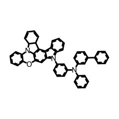 C1=CC2c3c4c(cc5c3c3ccccc3n5-c3cccc(N(c5ccccc5)c5cccc(-c6ccccc6)c5)c3)Oc3ccccc3N4C2C=C1